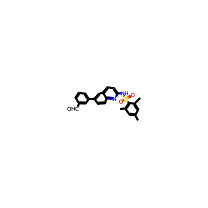 Cc1cc(C)c(S(=O)(=O)Nc2ccc3cc(-c4cccc(C=O)c4)ccc3n2)c(C)c1